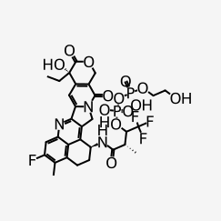 CC[C@@]1(O)C(=O)OCc2c1cc1n(c2=O)Cc2c-1nc1cc(F)c(C)c3c1c2[C@@H](NC(=O)[C@@H](C)C(OP(=O)(O)OP(=O)(O)OCCO)C(F)(F)F)CC3